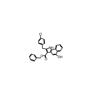 O=C(OCc1ccccc1)c1c(Cc2ccc(Cl)cc2)[nH]c2c1cc(O)c1ccccc12